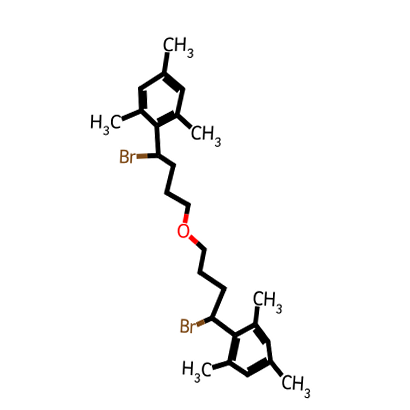 Cc1cc(C)c(C(Br)CCCOCCCC(Br)c2c(C)cc(C)cc2C)c(C)c1